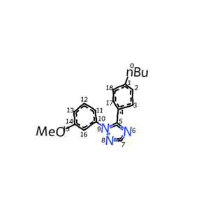 CCCCc1ccc(-c2ncnn2-c2cccc(OC)c2)cc1